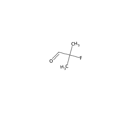 CC(C)(F)C=O